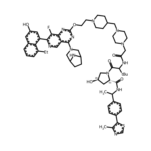 CCc1cccc2cc(O)cc(-c3ncc4c(N5CC6CCC(C5)N6)nc(OCCN5CCC(CN6CCN(CC(=O)NC(C(=O)N7C[C@H](O)C[C@H]7C(=O)NC(C)c7ccc(-c8scnc8C)cc7)C(C)(C)C)CC6)CC5)nc4c3F)c12